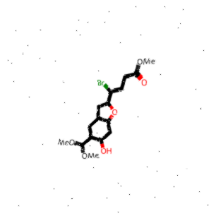 COC(=O)CCC(Br)C1CC2CC(C(OC)OC)C(O)CC2O1